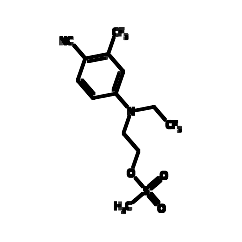 CS(=O)(=O)OCCN(CC(F)(F)F)c1ccc(C#N)c(C(F)(F)F)c1